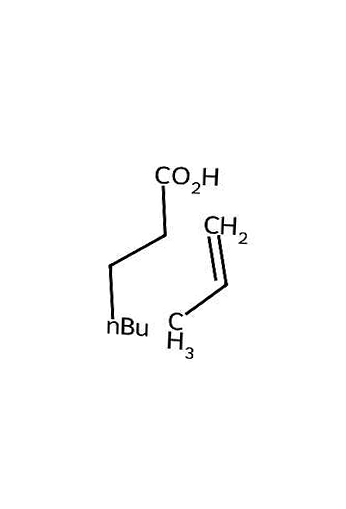 C=CC.CCCCCCC(=O)O